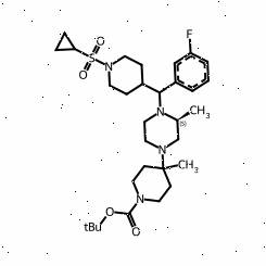 C[C@H]1CN(C2(C)CCN(C(=O)OC(C)(C)C)CC2)CCN1C(c1cccc(F)c1)C1CCN(S(=O)(=O)C2CC2)CC1